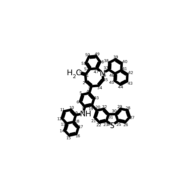 C=C1/C=C(c2ccc(Nc3cccc4ccccc34)c(-c3ccc4sc5ccccc5c4c3)c2)\C=C/N(c2cccc3ccccc23)c2ccccc21